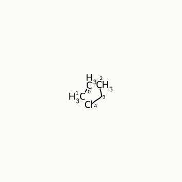 CC.CCCl